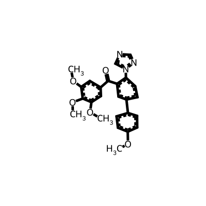 COc1ccc(-c2ccc(-n3cncn3)c(C(=O)c3cc(OC)c(OC)c(OC)c3)c2)cc1